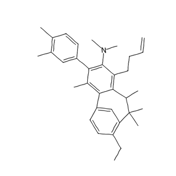 C=CCCc1c2c(c(C)c(-c3ccc(C)c(C)c3)c1N(C)C)-c1ccc(CC)c(c1)C(C)(C)C2C